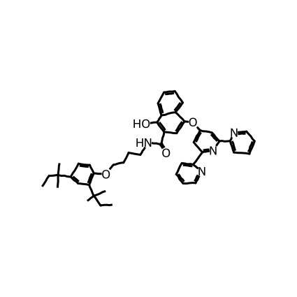 CCC(C)(C)c1ccc(OCCCCNC(=O)c2cc(Oc3cc(-c4ccccn4)nc(-c4ccccn4)c3)c3ccccc3c2O)c(C(C)(C)CC)c1